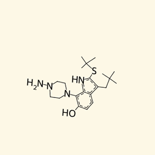 CC(C)(C)Cc1c(SC(C)(C)C)[nH]c2c(N3CCN(N)CC3)c(O)ccc12